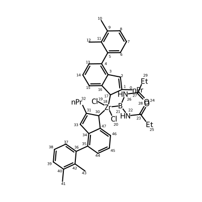 CCCC1=Cc2c(-c3cccc(C)c3C)cccc2[CH]1[Zr]([Cl])([Cl])([B](NC(=O)CC)NC(=O)CC)[CH]1C(CCC)=Cc2c(-c3cccc(C)c3C)cccc21